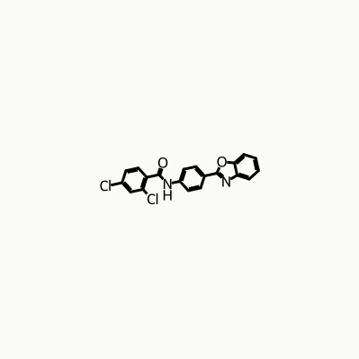 O=C(Nc1ccc(-c2nc3ccccc3o2)cc1)c1ccc(Cl)cc1Cl